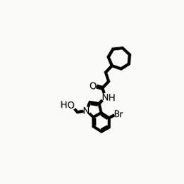 O=C(CCC1CCCCCC1)Nc1cn(CO)c2cccc(Br)c12